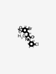 CC1=NN(c2cccc(Cl)c2)C(=O)/C1=C/c1cc2c(cc1Br)OCO2